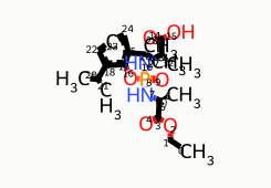 CCOC(=O)[C@H](C)NP(=O)(N[C@@H](C)C(=O)O)Oc1c(C(C)C)cccc1C(C)C